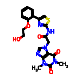 Cn1c(=O)c2c(ncn2CC(=O)Nc2nc(-c3ccccc3OCCO)cs2)n(C)c1=O